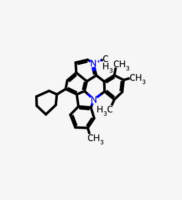 Cc1ccc2c3c(C4CCCCC4)cc4cc[n+](C)c5c6c(C)c(C)cc(C)c6n(c2c1)c3c45